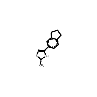 CC1NC(c2ccc3c(c2)CCC3)=CS1